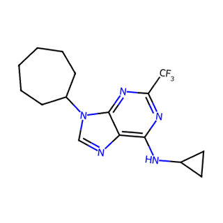 FC(F)(F)c1nc(NC2CC2)c2ncn(C3CCCCCC3)c2n1